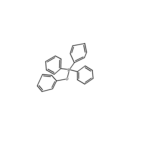 c1ccc(O[Si](c2ccccc2)(c2ccccc2)c2ccccc2)cc1